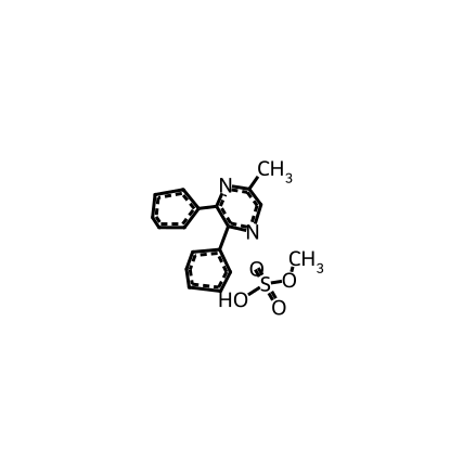 COS(=O)(=O)O.Cc1cnc(-c2ccccc2)c(-c2ccccc2)n1